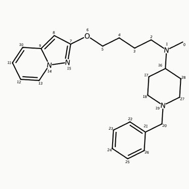 CN(CCCCOc1cc2ccccn2n1)C1CCN(Cc2ccccc2)CC1